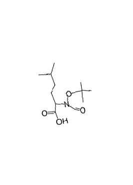 CC(C)CCC(C(=O)O)N(C=O)OC(C)(C)C